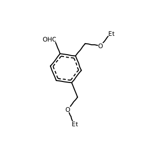 CCOCc1ccc(C=O)c(COCC)c1